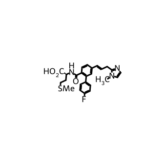 CSCC[C@H](NC(=O)c1ccc(C=CCc2nccn2C)cc1-c1ccc(F)cc1)C(=O)O